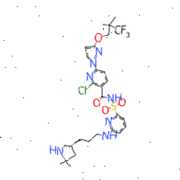 CC1(C)C[C@H](CCCNc2cccc(S(=O)(=O)NC(=O)c3ccc(-n4ccc(OCC(C)(C)C(F)(F)F)n4)nc3Cl)n2)CN1